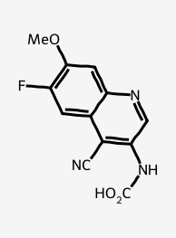 COc1cc2ncc(NC(=O)O)c(C#N)c2cc1F